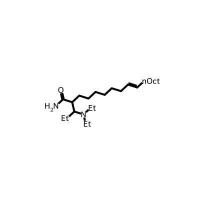 CCCCCCCCC=CCCCCCCC(C(N)=O)C(CC)N(CC)CC